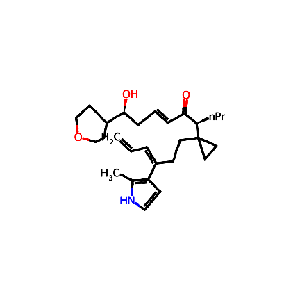 C=C/C=C(/CCC1([C@H](CCC)C(=O)/C=C/C[C@H](O)C2CCOCC2)CC1)c1cc[nH]c1C